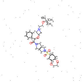 CC(C)(C)[Si](C)(C)OCCN1CC(OC(C(=O)N2CC3=C(C2)CN(S(=O)(=O)c2ccc4c(c2)OCCO4)C3)c2ccccc2)C1